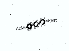 CCCCC[C@H]1CC[C@H]([C@H]2CC[C@H](c3ccc(NC(C)=O)cc3)CC2)CC1